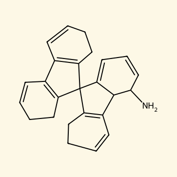 NC1C=CC=C2C1C1=C(CCC=C1)C21C2=C(C=CCC2)C2=C1CCC=C2